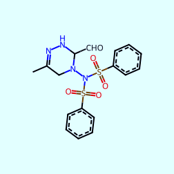 CC1=NNC(C=O)N(N(S(=O)(=O)c2ccccc2)S(=O)(=O)c2ccccc2)C1